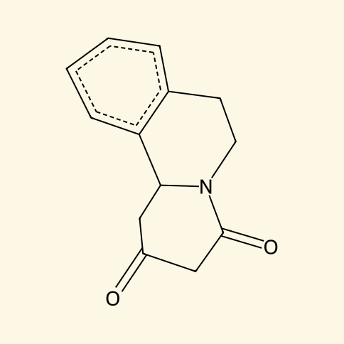 O=C1CC(=O)N2CCc3ccccc3C2C1